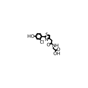 O=C(O)CNC(=O)Cc1csc(-c2ccc(O)cc2Cl)n1